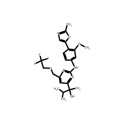 COc1cc(Nc2nc(COCC(F)(F)F)cc(C(C)(O)C(C)C)n2)ccc1-c1cnc(C)o1